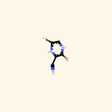 N#Cc1nc(I)cnc1Br